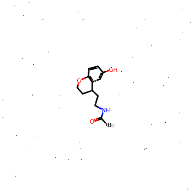 CC(C)(C)C(=O)NCCC1CCOc2ccc(O)cc21